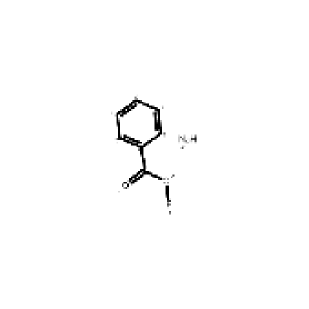 O=C(OF)c1ccccc1.[NaH]